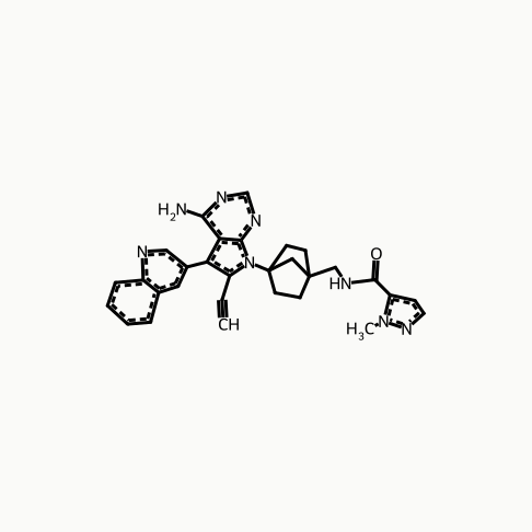 C#Cc1c(-c2cnc3ccccc3c2)c2c(N)ncnc2n1C12CCC(CNC(=O)c3ccnn3C)(CC1)C2